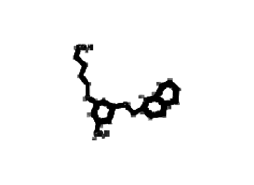 O=C(O)CCCCOc1cc(OCc2ccc3ccccc3n2)cc(C(=O)O)c1